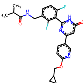 CC(C)C(=O)NCc1ccc(F)c(-c2nc(-c3ccc(OCC4CC4)nc3)cc(=O)[nH]2)c1F